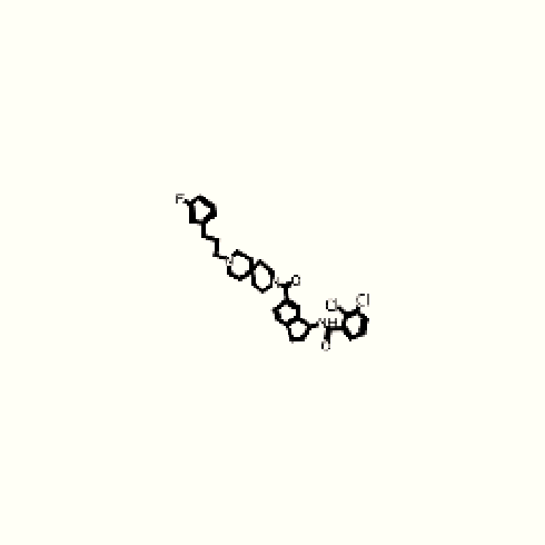 O=C(NC1CCc2ccc(C(=O)N3CCC4(CCN(CCCc5cccc(F)c5)CC4)CC3)cc21)c1cccc(Cl)c1Cl